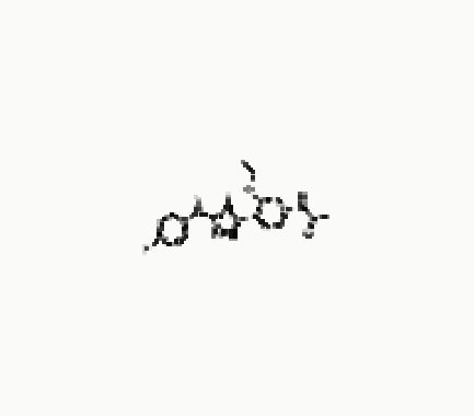 CCOc1cc(NC(C)=O)ccc1-c1nnc(N(C)c2ccc(F)cc2)n1C